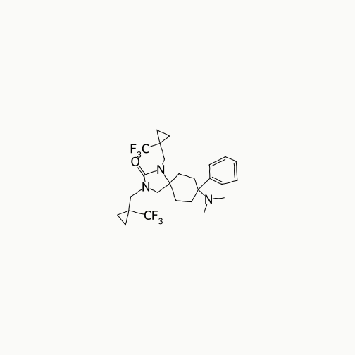 CN(C)C1(c2ccccc2)CCC2(CC1)CN(CC1(C(F)(F)F)CC1)C(=O)N2CC1(C(F)(F)F)CC1